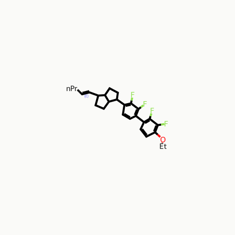 CCC/C=C/C1CCC2C(c3ccc(-c4ccc(OCC)c(F)c4F)c(F)c3F)CCC12